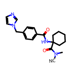 CN(C#N)C(=O)C1(NC(=O)c2ccc(Cn3ccnc3)cc2)CCCCC1